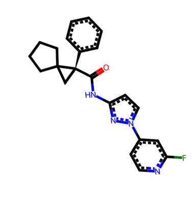 O=C(Nc1ccn(-c2ccnc(F)c2)n1)[C@]1(c2ccccc2)CC12CCCC2